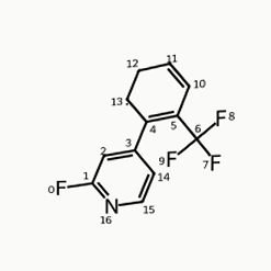 Fc1cc(C2=C(C(F)(F)F)C=CC[CH]2)ccn1